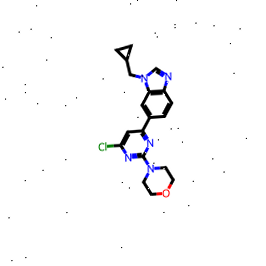 Clc1cc(-c2ccc3ncn(CC4CC4)c3c2)nc(N2CCOCC2)n1